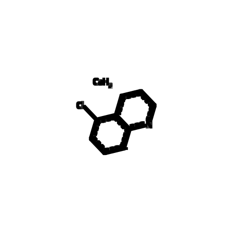 Clc1cc[c]c2ncccc12.[CaH2]